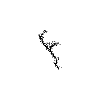 CC(C)CCCC(C)CC(=O)OCCCCCCN(CCCCCCOC(=O)CC(C)CCCC(C)C)CCCNC(=O)OC(C)(C)C